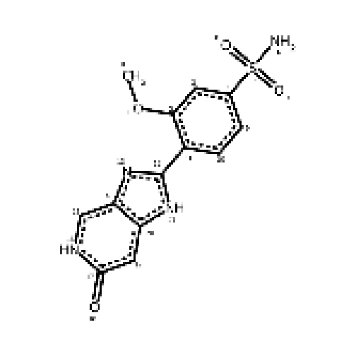 COc1cc(S(N)(=O)=O)ccc1-c1nc2c[nH]c(=O)cc2[nH]1